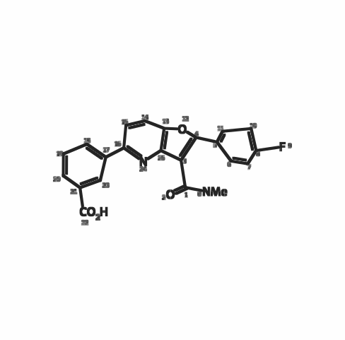 CNC(=O)c1c(-c2ccc(F)cc2)oc2ccc(-c3cccc(C(=O)O)c3)nc12